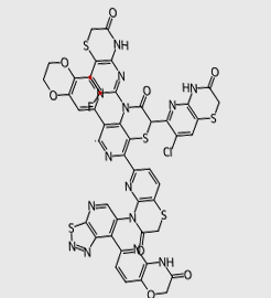 O=C1COc2ccc(-c3c(N4C(=O)CSc5ccc(-c6n[c]c(-c7cc8c(cn7)OCCO8)c7c6SC(c6nc8c(cc6Cl)SCC(=O)N8)C(=O)N7c6nc7c(cc6F)SCC(=O)N7)nc54)cnc4snnc34)nc2N1